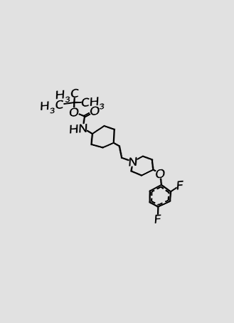 CC(C)(C)OC(=O)NC1CCC(CCN2CCC(Oc3ccc(F)cc3F)CC2)CC1